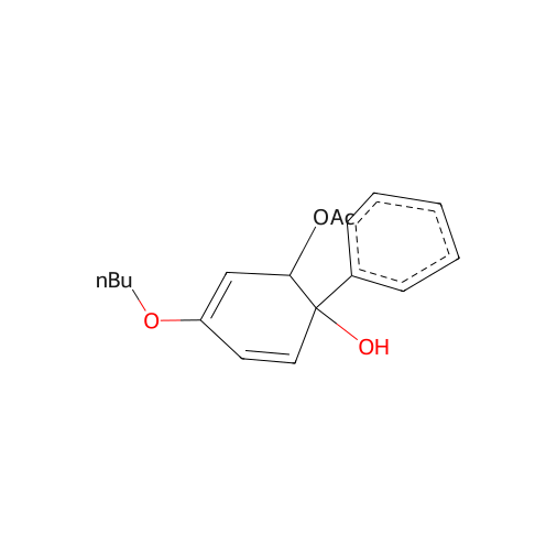 CCCCOC1=CC(OC(C)=O)C(O)(c2ccccc2)C=C1